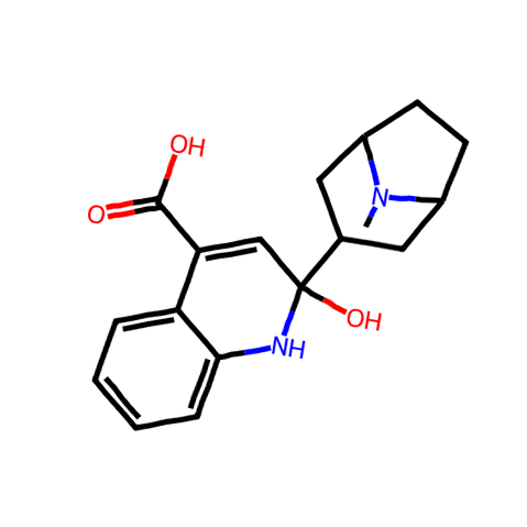 CN1C2CCC1CC(C1(O)C=C(C(=O)O)c3ccccc3N1)C2